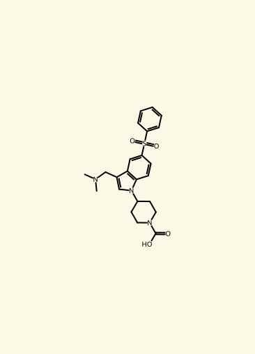 CN(C)Cc1cn(C2CCN(C(=O)O)CC2)c2ccc(S(=O)(=O)c3ccccc3)cc12